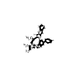 C[C@@H]1CN([C@@H](C)CO)S(O)(O)c2ccc(-c3ccccc3)cc2O[C@H]1CN(C)C(=O)Cc1cccnc1